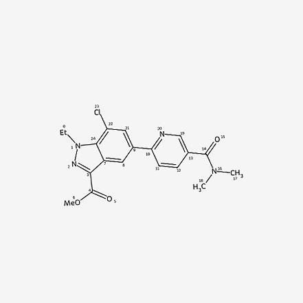 CCn1nc(C(=O)OC)c2cc(-c3ccc(C(=O)N(C)C)cn3)cc(Cl)c21